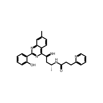 Cc1ccc2c(C(=N)C[C@@H](C)NC(=O)CCc3ccccn3)nc(-c3ccccc3O)nc2c1